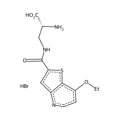 Br.CCOc1ccnc2cc(C(=O)NC[C@@H](N)C(=O)O)sc12